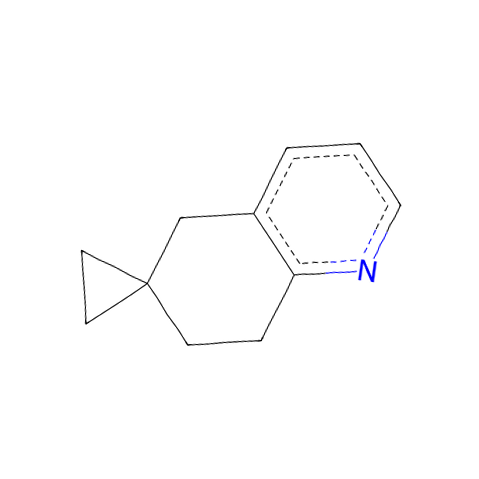 c1cnc2c(c1)CC1(CC2)CC1